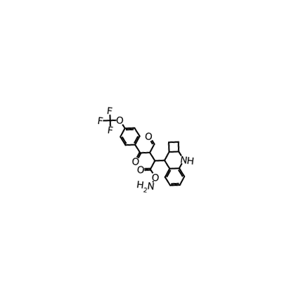 NOC(=O)C(C(C=O)C(=O)c1ccc(OC(F)(F)F)cc1)C1c2ccccc2NC2CCC21